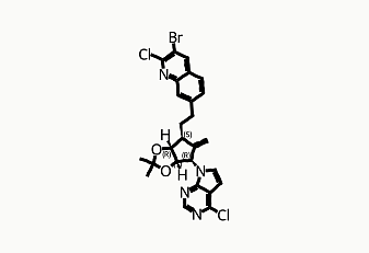 C=C1[C@@H](n2ccc3c(Cl)ncnc32)[C@@H]2OC(C)(C)O[C@@H]2[C@H]1CCc1ccc2cc(Br)c(Cl)nc2c1